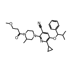 COCCC(=O)N1CCN(c2nc(C3CC3)c(OC(c3ccccc3)C(C)C)cc2C#N)CC1C